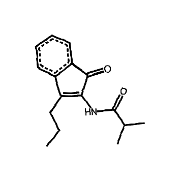 CCCC1=C(NC(=O)C(C)C)C(=O)c2ccccc21